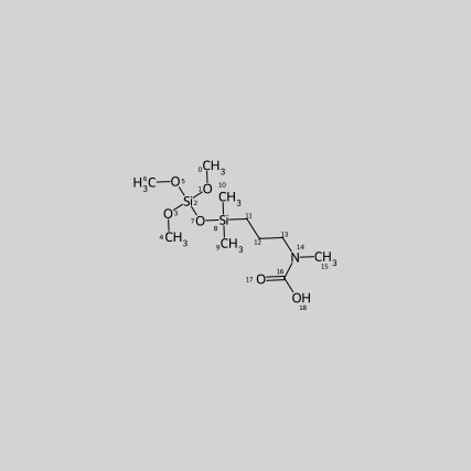 CO[Si](OC)(OC)O[Si](C)(C)CCCN(C)C(=O)O